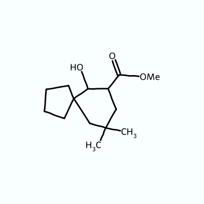 COC(=O)C1CC(C)(C)CC2(CCCC2)C1O